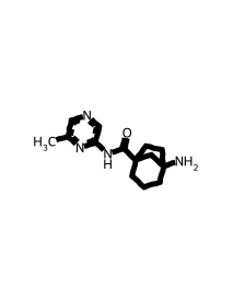 Cc1cncc(NC(=O)C23CCCC(N)(CC2)C3)n1